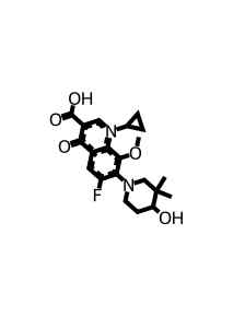 COc1c(N2CCC(O)C(C)(C)C2)c(F)cc2c(=O)c(C(=O)O)cn(C3CC3)c12